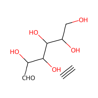 C#C.O=CC(O)C(O)C(O)C(O)CO